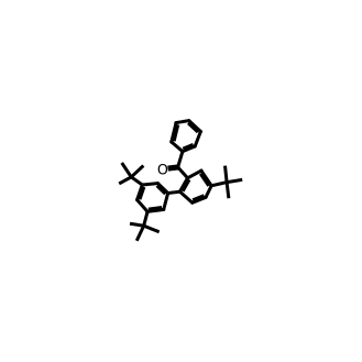 CC(C)(C)c1cc(-c2ccc(C(C)(C)C)cc2C(=O)c2ccccc2)cc(C(C)(C)C)c1